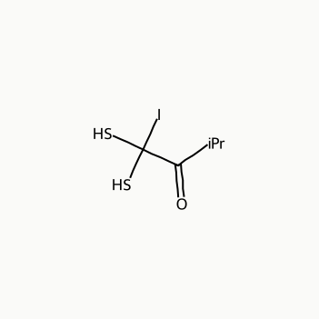 CC(C)C(=O)C(S)(S)I